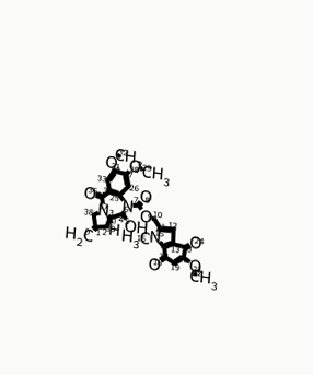 C=C1C[C@H]2C(O)N(C(=O)OCc3cc4c(n3C)C(=O)C=C(OC)C4=O)c3cc(OC)c(OC)cc3C(=O)N2C1